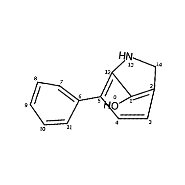 Oc1c2ccc(-c3ccccc3)c1NC2